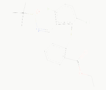 CCOC(=O)c1ccccc1Sc1c(Cl)ccc(F)c1/C=N\[S+]([O-])C(C)(C)C